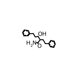 NC(=O)C(CCc1ccccc1)C(O)CCc1ccccc1